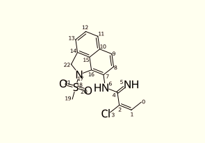 C/C=C(/Cl)C(=N)Nc1ccc2cccc3c2c1N(S(C)(=O)=O)C3